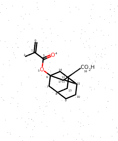 C=C(C)C(=O)OC12CC3CCC(C(C3)C1)C(C(=O)O)C2